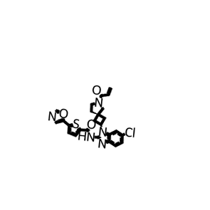 C=CC(=O)N1CC[C@]2(C1)C[C@H](n1c(NC(=O)c3ccc(-c4cnco4)s3)nc3ccc(Cl)cc31)C2